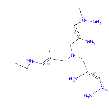 CCN/C=C(\C)CN(C/C(N)=C/N(C)N)C/C(N)=C/N(N)CC